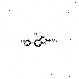 CNc1nc(C)c2cc(-c3cn[nH]c3)ccc2n1